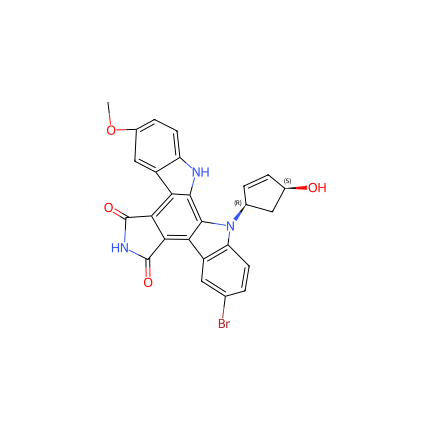 COc1ccc2[nH]c3c(c4c(c5c6cc(Br)ccc6n([C@H]6C=C[C@@H](O)C6)c35)C(=O)NC4=O)c2c1